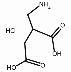 Cl.NCC(CC(=O)O)C(=O)O